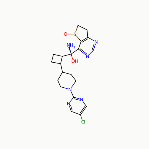 N[C@](O)(c1ncnc2c1[S+]([O-])CC2)C1CCC1C1CCN(c2ncc(Cl)cn2)CC1